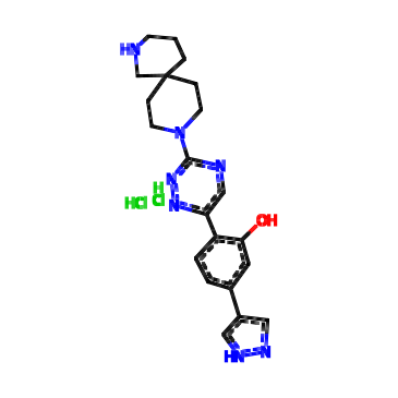 Cl.Cl.Oc1cc(-c2cn[nH]c2)ccc1-c1cnc(N2CCC3(CCCNC3)CC2)nn1